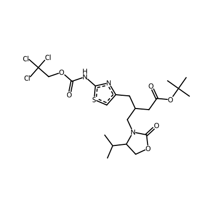 CC(C)C1COC(=O)N1CC(CC(=O)OC(C)(C)C)Cc1csc(NC(=O)OCC(Cl)(Cl)Cl)n1